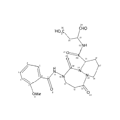 COc1ccccc1C(=O)NN1CCC(=O)N2CCCC(C(=O)NC(C=O)CC(=O)O)N2C1=O